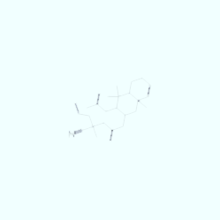 C=CCC(C)(C#N)CC(=C)CC1CC2(C)C=CCCC2C(C)(C)C1CC(=C)C